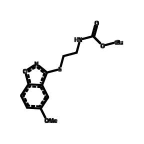 COc1ccc2onc(SCCNC(=O)OC(C)(C)C)c2c1